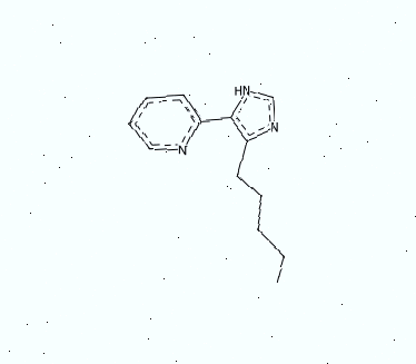 CCCCCc1nc[nH]c1-c1ccccn1